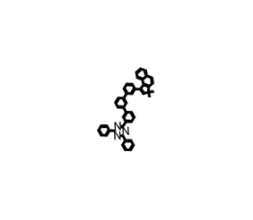 CC1(C)C=C(c2cccc(-c3cccc(-c4cccc(-c5nc(-c6ccccc6)nc(-c6ccccc6)n5)c4)c3)c2)c2c1ccc1ccccc21